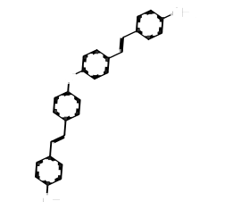 Cc1ccc(/C=C/c2ccc(Oc3ccc(/C=C/c4ccc(C)cc4)cc3)cc2)cc1